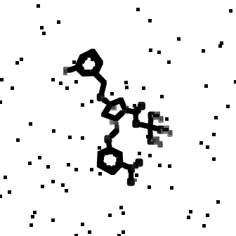 CC(C)(C)OC(=O)N1C[C@H](OCc2cccc(F)c2)C[C@H]1COc1cccc([N+](=O)[O-])c1